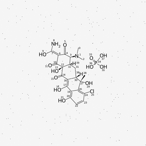 CN(C)[C@@H]1C(=O)/C(=C(\N)O)C(=O)[C@@]2(O)C(=O)C3=C(O)c4c(O)ccc(Cl)c4[C@@](C)(O)[C@H]3C[C@@H]12.O=P(O)(O)O